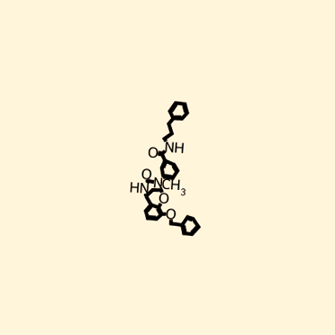 CC12CC(NC(=O)N1c1cccc(C(=O)NCCCc3ccccc3)c1)c1cccc(OCc3ccccc3)c1O2